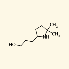 CC1(C)CCC(CCCO)N1